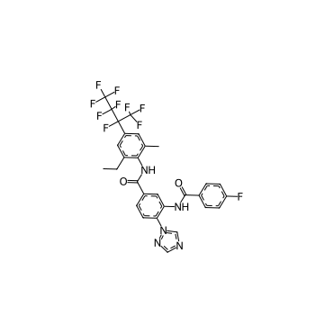 CCc1cc(C(F)(C(F)(F)F)C(F)(F)C(F)(F)F)cc(C)c1NC(=O)c1ccc(-n2cncn2)c(NC(=O)c2ccc(F)cc2)c1